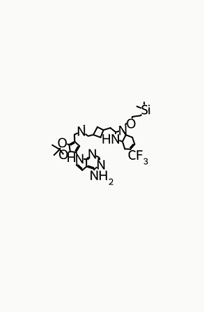 CN(CC1=C2OC(C)(C)O[C@H]2C(n2ccc3c(N)ncnc32)=C1)CC1CC(CC2NC3CC(C(F)(F)F)=CCC3N2COCC[Si](C)(C)C)C1